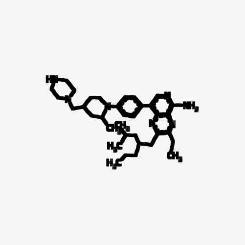 CCCC(Cc1nc2c(-c3ccc(N4CCC(CN5CCNCC5)CC4C)cc3)cnc(N)c2nc1CC)CC(C)C